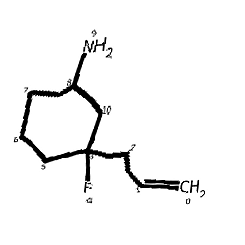 C=CCC1(F)CCCC(N)C1